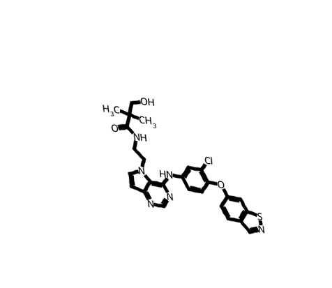 CC(C)(CO)C(=O)NCCn1ccc2ncnc(Nc3ccc(Oc4ccc5cnsc5c4)c(Cl)c3)c21